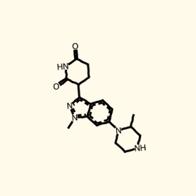 CC1CNCCN1c1ccc2c(C3CCC(=O)NC3=O)nn(C)c2c1